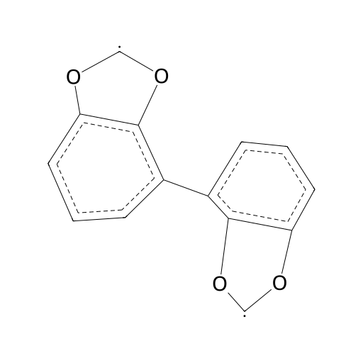 [CH]1Oc2cccc(-c3cccc4c3O[CH]O4)c2O1